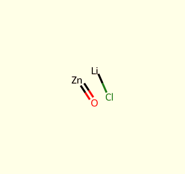 [Li][Cl].[O]=[Zn]